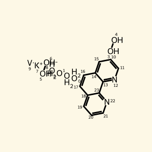 O.O.O.OO.OO.[K+].[OH-].[V].c1cnc2c(c1)ccc1cccnc12